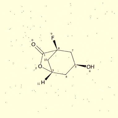 O=C1O[C@H]2C[C@H](O)C[C@]1(F)C2